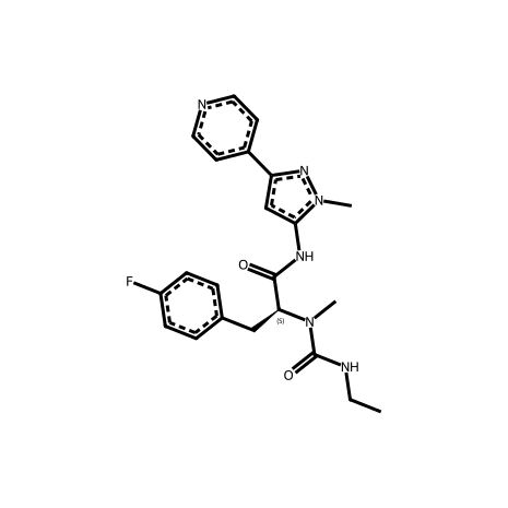 CCNC(=O)N(C)[C@@H](Cc1ccc(F)cc1)C(=O)Nc1cc(-c2ccncc2)nn1C